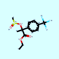 CCOC(=O)C(C)(OS(C)=O)c1ccc(C(F)(F)F)cc1